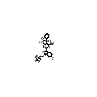 CC1(c2ccccc2)C(=O)Nc2nc(-c3nn(CCC(F)(F)C(F)(F)F)c4cc(Cl)ccc34)nc(Br)c21